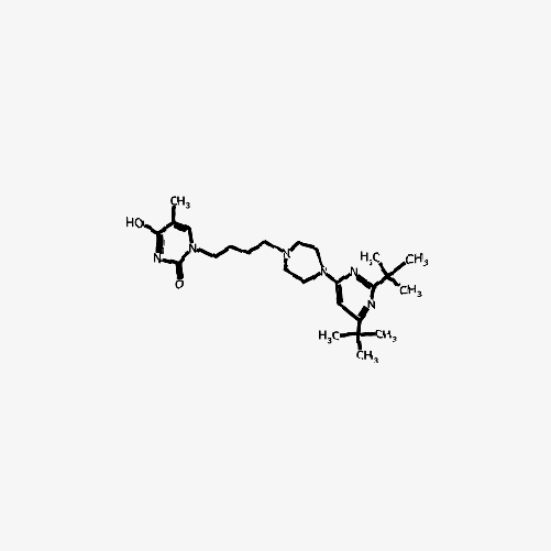 Cc1cn(CCCCN2CCN(c3cc(C(C)(C)C)nc(C(C)(C)C)n3)CC2)c(=O)nc1O